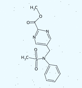 COC(=O)c1ncc(CN(c2ccccc2)S(C)(=O)=O)cn1